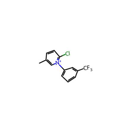 Cc1ccc(Cl)[n+](-c2cccc(C(F)(F)F)c2)c1